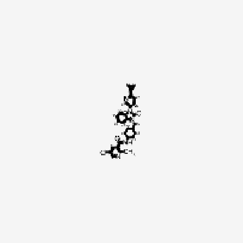 Cc1ncc(Cl)cc1C(=O)NC1CCC(Cn2c(=O)n(-c3ccc(C4CC4)nc3)c3ccccc32)CC1